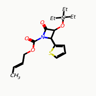 CC=CCOC(=O)N1C(=O)C(O[Si](CC)(CC)CC)C1c1cccs1